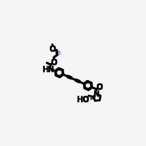 CO/C=C\COC(C)Nc1ccc(C#CC#Cc2ccc(C(=O)N3CCC[C@H]3CO)cc2)cc1